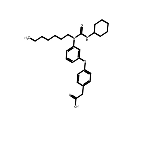 CCCCCCCN(C(=O)NC1CCCCC1)c1cccc(Sc2ccc(CC(=O)O)cc2)c1